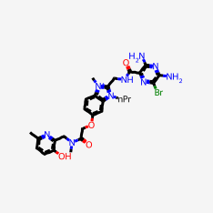 CCCn1c(CNC(=O)c2nc(Br)c(N)nc2N)[n+](C)c2ccc(OCC(=O)N(C)Cc3nc(C)ccc3O)cc21